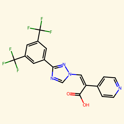 O=C(O)/C(=C\n1cnc(-c2cc(C(F)(F)F)cc(C(F)(F)F)c2)n1)c1ccncc1